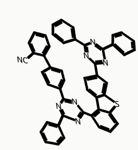 N#Cc1ccccc1-c1ccc(-c2nc(-c3ccccc3)nc(-c3cccc4sc5cc(-c6nc(-c7ccccc7)nc(-c7ccccc7)n6)ccc5c34)n2)cc1